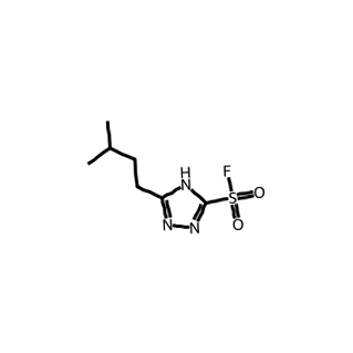 CC(C)CCc1nnc(S(=O)(=O)F)[nH]1